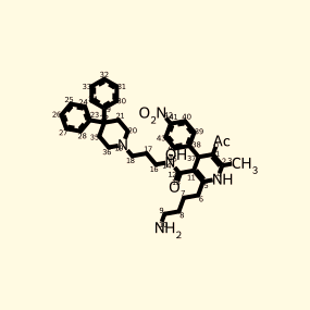 CC(=O)C1=C(C)NC(CCCCN)=C(C(=O)N(O)CCCN2CCC(c3ccccc3)(c3ccccc3)CC2)C1c1ccc([N+](=O)[O-])cc1